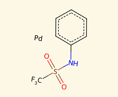 O=S(=O)(Nc1ccccc1)C(F)(F)F.[Pd]